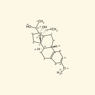 CC[C@]12CC[C@@H]3C4=C(CC[C@H]3[C@@H]1CC[C@@]2(O)C(C)O)CC(OC)=CC4